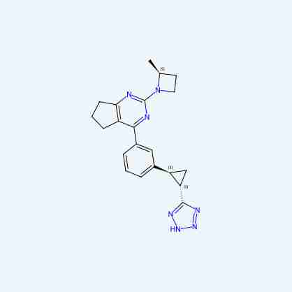 C[C@H]1CCN1c1nc2c(c(-c3cccc([C@H]4C[C@@H]4c4nn[nH]n4)c3)n1)CCC2